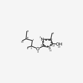 Cc1nc(OC(C)CC(C)C)sc1O